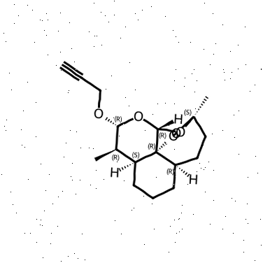 C#CCO[C@@H]1O[C@@H]2O[C@]3(C)CC[C@H]4CCC[C@@H]([C@H]1C)[C@]42OO3